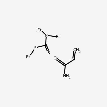 C=CC(N)=O.CCSC(=S)N(CC)CC